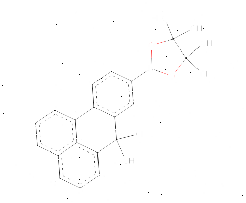 CC1(C)c2cc(B3OC(C)(C)C(C)(C)O3)ccc2-c2cccc3cccc1c23